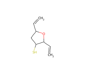 C=CC1CC(S)C(C=C)O1